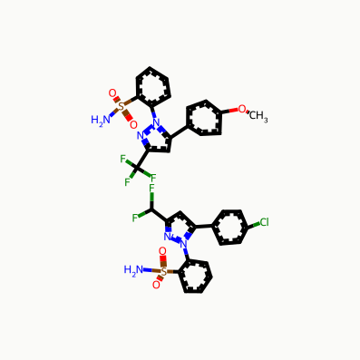 COc1ccc(-c2cc(C(F)(F)F)nn2-c2ccccc2S(N)(=O)=O)cc1.NS(=O)(=O)c1ccccc1-n1nc(C(F)F)cc1-c1ccc(Cl)cc1